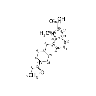 CCC(=O)N1CCC(Cc2cccc3cc(C(=O)O)n(C)c23)CC1